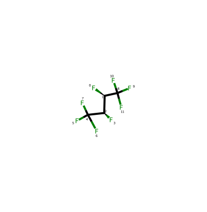 F[C@H]([C@@H](F)C(F)(F)F)C(F)(F)F